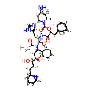 CC(=O)N(C(=O)[C@H](Cc1cnc[nH]1)NC(=O)[C@H](Cc1ccccc1)OC(=O)N1CCC(N)CC1)C(C[C@@H](O)[C@@H](O)CCc1ccccn1)C1CCCCC1